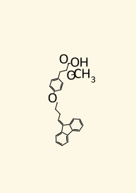 COC(Cc1ccc(OCCCC=C2c3ccccc3-c3ccccc32)cc1)C(=O)O